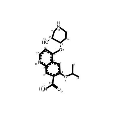 CC(C)Oc1cc2c(O[C@H]3CCNC[C@H]3O)ccnc2cc1C(N)=O